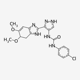 COC1=Cc2nc(-c3n[nH]cc3NC(=O)Nc3ccc(Cl)cc3)[nH]c2CC1OC